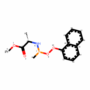 CC(C)OC(=O)[C@H](C)NP(C)OOc1cccc2ccccc12